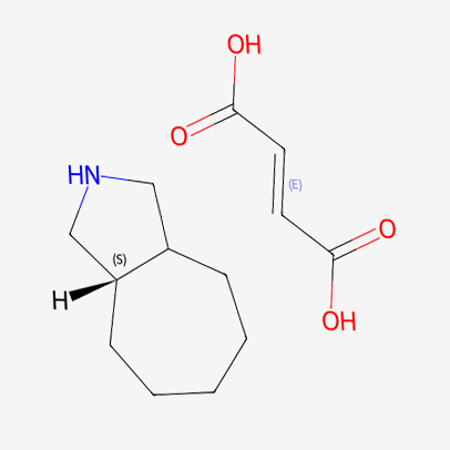 C1CCC2CNC[C@H]2CC1.O=C(O)/C=C/C(=O)O